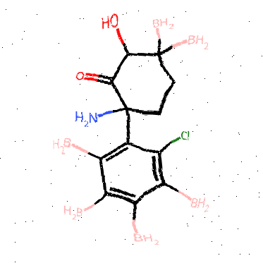 Bc1c(B)c(B)c(C2(N)CCC(B)(B)C(O)C2=O)c(Cl)c1B